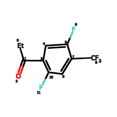 CCC(=O)c1cc(F)c(C(F)(F)F)cc1F